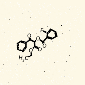 CCOC(=O)C(OC(=O)c1ccccc1F)C(=O)c1ccccc1